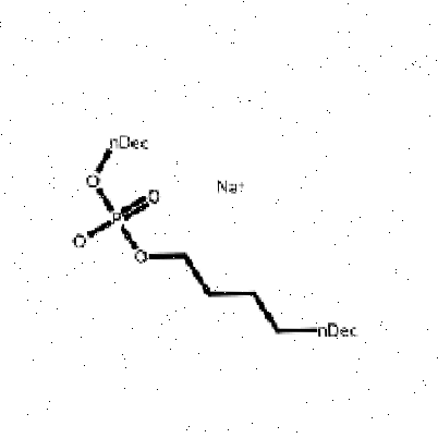 CCCCCCCCCCCCCCOP(=O)([O-])OCCCCCCCCCC.[Na+]